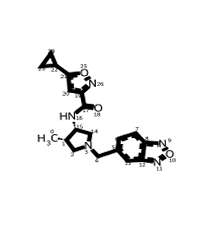 C[C@H]1CN(Cc2ccc3nonc3c2)C[C@H]1NC(=O)c1cc(C2CC2)on1